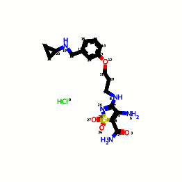 Cl.NC(=O)C1=C(N)C(NCCCOc2cccc(CNC3CC3)c2)=NS1(=O)=O